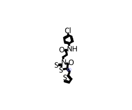 O=C(CCN1C(=O)/C(=C/c2cccs2)SC1=S)Nc1ccc(Cl)cc1